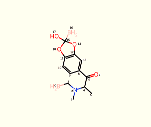 BCN(C)C(C)C(=O)c1ccc2c(c1)OC(B)(O)O2